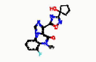 CC(C)n1c(=O)c2c(-c3nc(C4(O)CCCC4)no3)ncn2c2cccc(F)c21